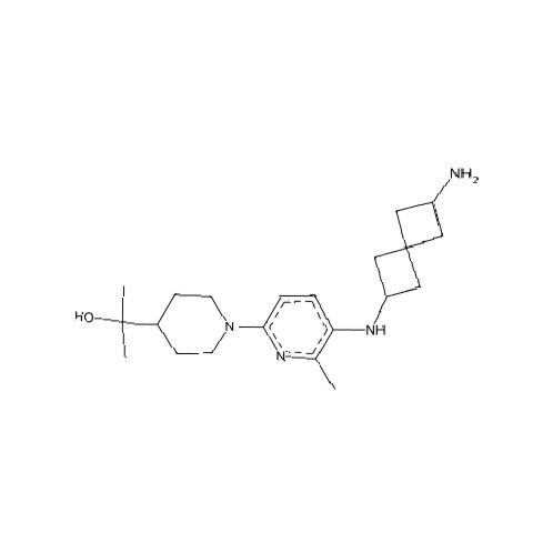 Cc1nc(N2CCC(C(C)(C)O)CC2)ccc1NC1CC2(CC(N)C2)C1